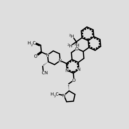 [2H]C([2H])([2H])c1cccc2cccc(C3Cc4nc(OC[C@@H]5CCCN5C)nc(N5CCN(C(=O)C=C)[C@@H](CC#N)C5)c4CO3)c12